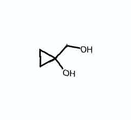 O[CH]C1(O)CC1